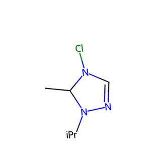 CC(C)N1N=CN(Cl)C1C